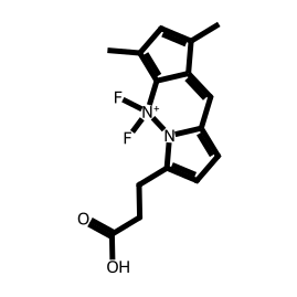 CC1=CC(C)=C2C1=Cc1ccc(CCC(=O)O)n1[N+]2(F)F